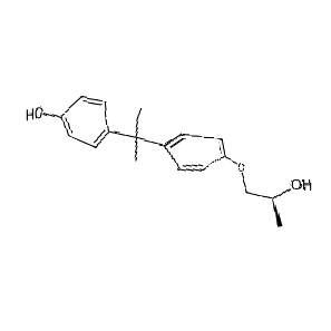 C[C@H](O)COc1ccc(C(C)(C)c2ccc(O)cc2)cc1